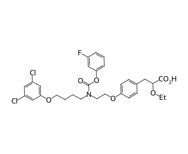 CCOC(Cc1ccc(OCCN(CCCCOc2cc(Cl)cc(Cl)c2)C(=O)Oc2cccc(F)c2)cc1)C(=O)O